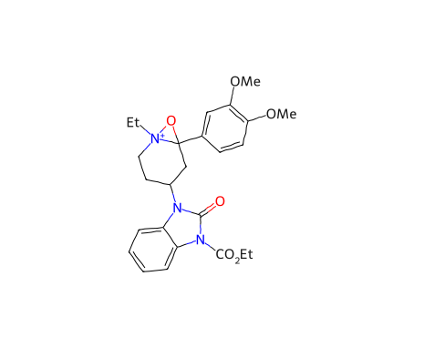 CCOC(=O)n1c(=O)n(C2CC[N+]3(CC)OC3(c3ccc(OC)c(OC)c3)C2)c2ccccc21